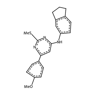 COc1ccc(-c2cc(Nc3ccc4c(c3)CCC4)nc(SC)n2)cc1